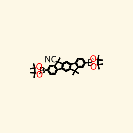 CC1(C)c2cc(B3OC(C)(C)C(C)(C)O3)ccc2-c2cc3c(cc21)-c1ccc(B2OC(C)(C)C(C)(C)O2)cc1C3(C)C#N